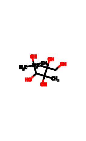 CC(C)(O)C(O)C(C)(O)C(C)(O)CO